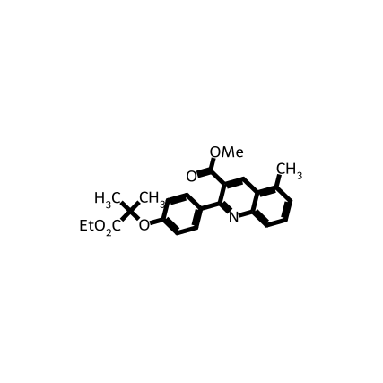 CCOC(=O)C(C)(C)Oc1ccc(-c2nc3cccc(C)c3cc2C(=O)OC)cc1